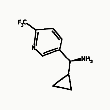 N[C@H](c1ccc(C(F)(F)F)nc1)C1CC1